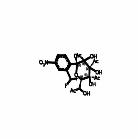 CC(=O)C(O)[C@H]1O[C@](O)(c2ccc([N+](=O)[O-])cc2C(F)F)[C@@](O)(C(C)=O)[C@](O)(C(C)=O)[C@]1(O)C(C)=O